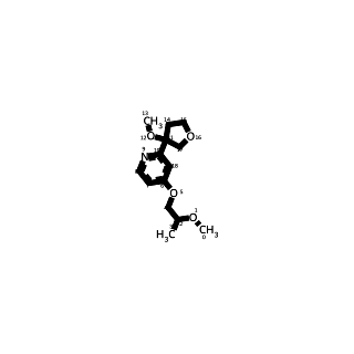 COC(C)COc1ccnc(C2(OC)CCOC2)c1